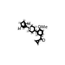 COc1ccc(C(=O)C2CC2)cc1C1CCN([C@H]2C[C@H]3CC[C@H]2C3)CC1